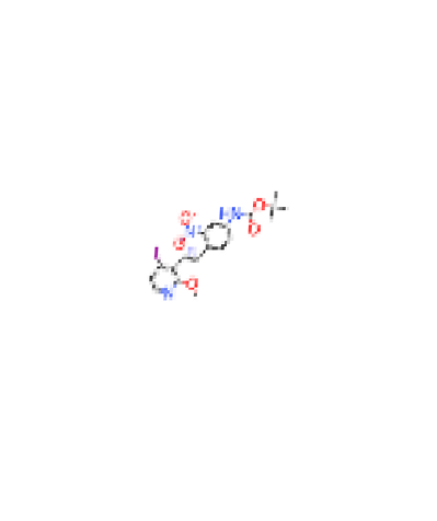 COc1nccc(I)c1/C=C/c1ccc(NC(=O)OC(C)(C)C)cc1[N+](=O)[O-]